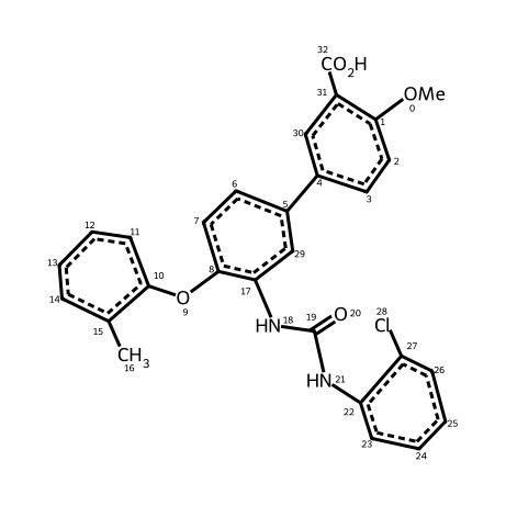 COc1ccc(-c2ccc(Oc3ccccc3C)c(NC(=O)Nc3ccccc3Cl)c2)cc1C(=O)O